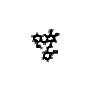 Cc1c(Br)c(=O)nc(SCc2ccccc2N=O)n1Cc1ccccc1[N+](=O)[O-]